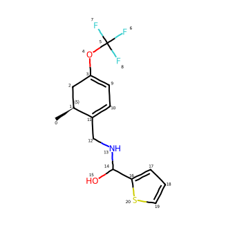 C[C@H]1CC(OC(F)(F)F)=CC=C1CNC(O)c1cccs1